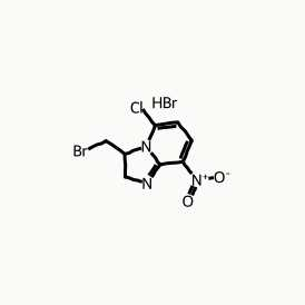 Br.O=[N+]([O-])C1=CC=C(Cl)N2C1=NCC2CBr